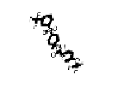 CC1(NC(=O)c2ccc(OC(F)(F)F)cc2)CCC(S(=O)(=O)c2cccc(C(F)(F)F)c2)CC1